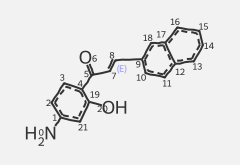 Nc1ccc(C(=O)/C=C/c2ccc3ccccc3c2)c(O)c1